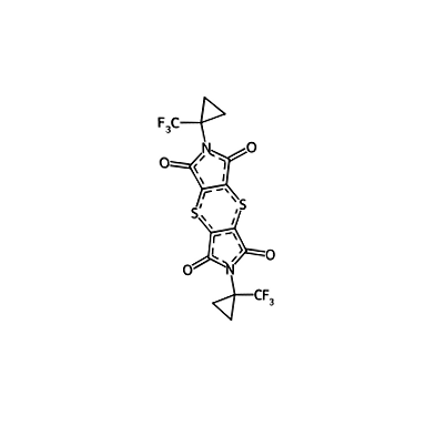 O=c1c2sc3c(=O)n(C4(C(F)(F)F)CC4)c(=O)c3sc2c(=O)n1C1(C(F)(F)F)CC1